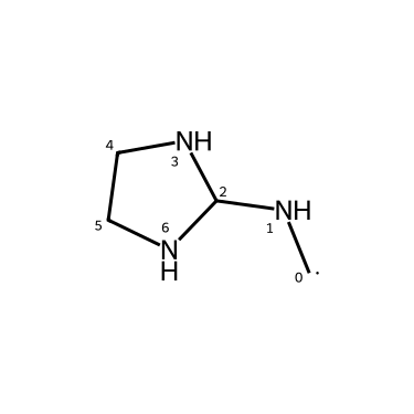 [CH2]NC1NCCN1